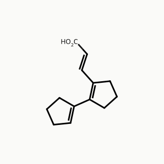 O=C(O)C=CC1=C(C2=CCCC2)CCC1